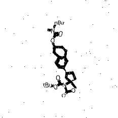 CCCCN(C)C(=O)OC1CCc2cc([C@H]3CC[C@]4(COC(=O)N4C(=O)OC(C)(C)C)C3)ccc2C1